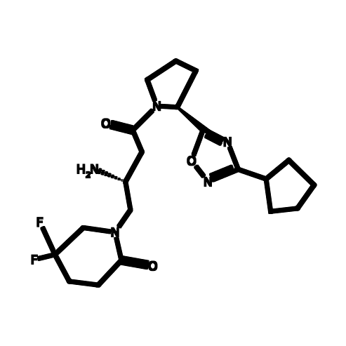 N[C@H](CC(=O)N1CCC[C@H]1c1nc(C2CCCC2)no1)CN1CC(F)(F)CCC1=O